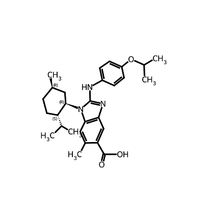 Cc1cc2c(cc1C(=O)O)nc(Nc1ccc(OC(C)C)cc1)n2[C@@H]1C[C@H](C)CC[C@H]1C(C)C